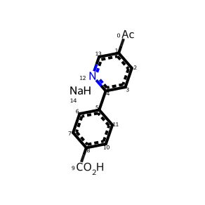 CC(=O)c1ccc(-c2ccc(C(=O)O)cc2)nc1.[NaH]